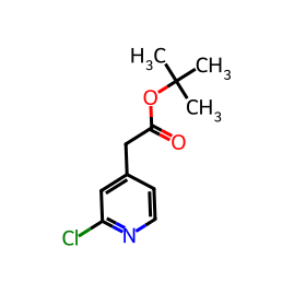 CC(C)(C)OC(=O)Cc1ccnc(Cl)c1